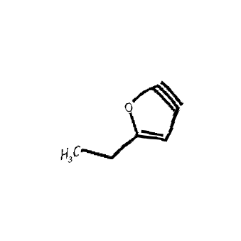 CCc1cc#co1